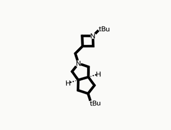 CC(C)(C)C1C[C@@H]2CN(CC3CN(C(C)(C)C)C3)C[C@@H]2C1